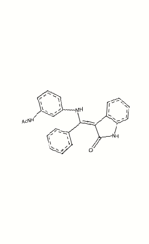 CC(=O)Nc1cccc(NC(=C2C(=O)Nc3ccccc32)c2ccccc2)c1